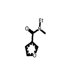 CCN(C)C(=O)c1ccoc1